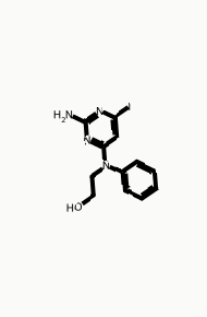 Nc1nc(I)cc(N(CCO)c2ccccc2)n1